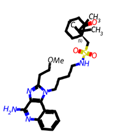 COCCc1nc2c(N)nc3ccccc3c2n1CCCCNS(=O)(=O)C[C@]12CCC(CC1=O)CC2(C)C